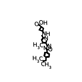 Cc1cc(CNC2CC(C(=O)O)C2)ncc1-c1noc(-c2ccc(CC(C)C)cc2)n1